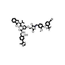 COc1cc(/C=C2\SC(=O)N(CO[C@@H]3C[C@@H](C(=O)NCc4ccc(-c5scnc5C)cc4O)N(C(=O)[C@H](C(C)C)N4Cc5ccccc5C4=O)C3)C2=O)ccc1Oc1ccc(C#N)cc1C(F)(F)F